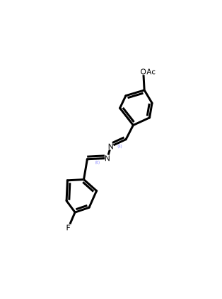 CC(=O)Oc1ccc(/C=N/N=C/c2ccc(F)cc2)cc1